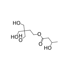 CC(O)CC(=O)OCCC(CO)(CO)CO